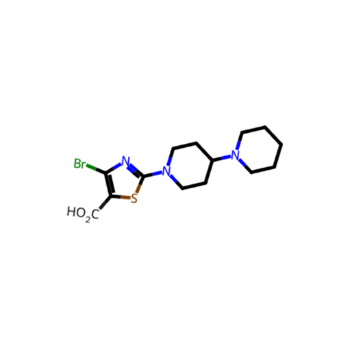 O=C(O)c1sc(N2CCC(N3CCCCC3)CC2)nc1Br